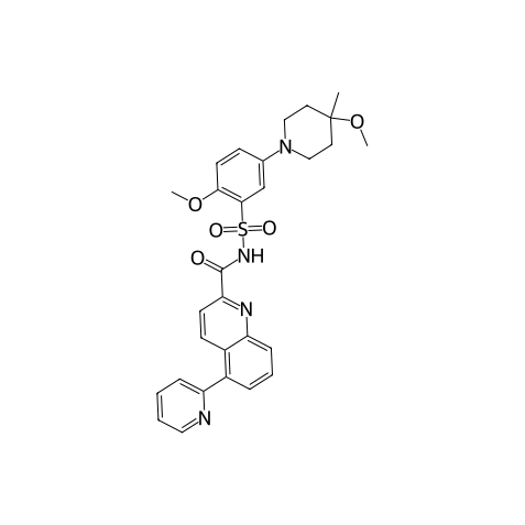 COc1ccc(N2CCC(C)(OC)CC2)cc1S(=O)(=O)NC(=O)c1ccc2c(-c3ccccn3)cccc2n1